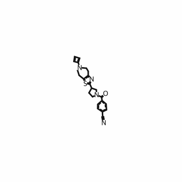 N#Cc1ccc(C(=O)N2CCC(c3nc4c(s3)CCN(C3=CC=C3)CC4)C2)cc1